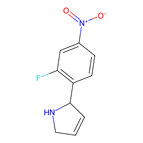 O=[N+]([O-])c1ccc(C2C=CCN2)c(F)c1